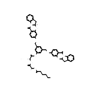 C[C@H](NC(=O)CCCCC(=O)O)C(=O)N[C@@H](C)C(=O)Nc1cc(COc2ccc3c(c2)N[C@H]2Cc4ccccc4N2C3=O)cc(COc2ccc3c(c2)N[C@@H]2Cc4ccccc4N2C3=O)c1